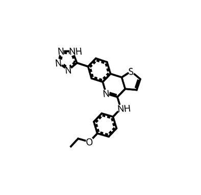 CCOc1ccc(NC2=Nc3cc(-c4nnn[nH]4)ccc3C3SC=CC23)cc1